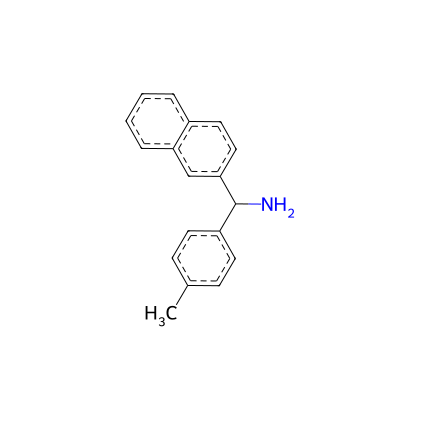 Cc1ccc(C(N)c2ccc3ccccc3c2)cc1